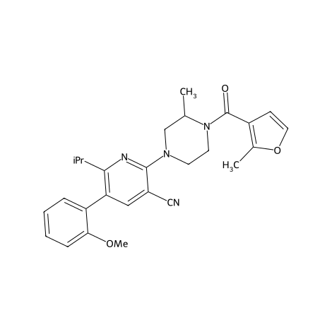 COc1ccccc1-c1cc(C#N)c(N2CCN(C(=O)c3ccoc3C)C(C)C2)nc1C(C)C